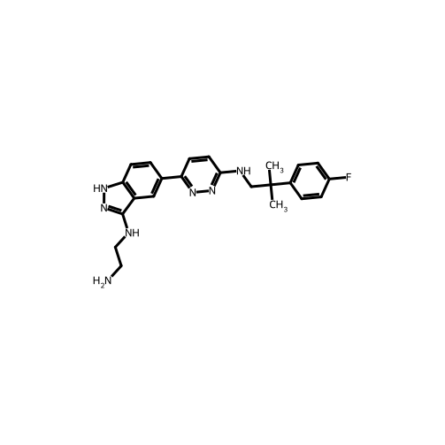 CC(C)(CNc1ccc(-c2ccc3[nH]nc(NCCN)c3c2)nn1)c1ccc(F)cc1